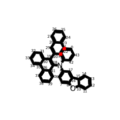 c1ccc(N(c2ccc3oc4ccccc4c3c2)c2c(-c3ccc4ccccc4c3)c3ccccc3c3ccccc23)cc1